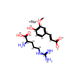 COc1cc(C=CC(=O)[O-])ccc1O.N=C(N)NCCCC(N)C(=O)O.[Na+]